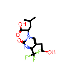 CC(C)CC(C(=O)O)n1cc(CCO)c(C(F)(F)F)nc1=O